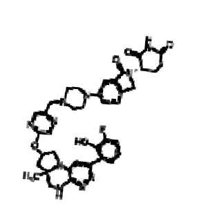 C[C@]12CNc3nnc(-c4cccc(F)c4O)cc3N1C[C@H](Oc1cnc(CN3CCN(c4ccc5c(c4)C(=O)N([C@H]4CCC(=O)NC4=O)C5)CC3)cn1)C2